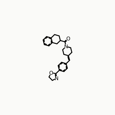 O=C(C1CCc2ccccc2C1)N1CCC(=Cc2ccc(C3=NCCO3)cc2)CC1